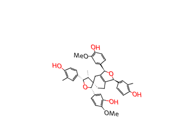 COc1ccc([C@@H]2O[C@H](c3ccc(O)c(C)c3)[C@H](C)[C@]23CCC2=C(C3)[C@@H](c3ccc(O)c(OC)c3)O[C@H]2c2ccc(O)c(C)c2)cc1O